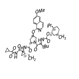 C=C[C@@H]1C[C@]1(NC(=O)[C@@H]1C[C@@H](Oc2nccc3cc(OC)ccc23)CN1C(=O)[C@@H](NC(=O)O[C@H]1C[C@@H](C)CC[C@@H]1C(C)C)C(C)(C)C)C(=O)NS(=O)(=O)C1CC1